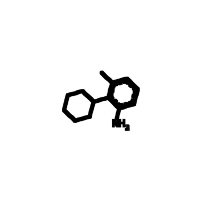 Cc1cccc(N)c1C1CCCCC1